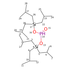 CC(C)C[Si](CC(C)C)(CC(C)C)O[PH](=O)O[Si](CC(C)C)(CC(C)C)CC(C)C